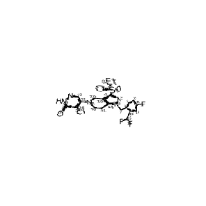 CCS(=O)(=O)c1nn(Cc2ccc(F)cc2C(F)F)c2c1CN(c1cn[nH]c(=O)c1Cl)CC2